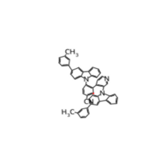 Cc1cccc(-c2ccc3c(c2)c2ccccc2n3-c2ccc(C#N)cc2-c2ccncc2-n2c3ccccc3c3cc(-c4cccc(C)c4)ccc32)c1